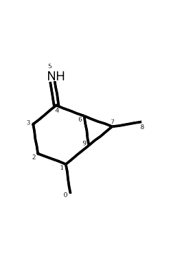 CC1CCC(=N)C2C(C)C12